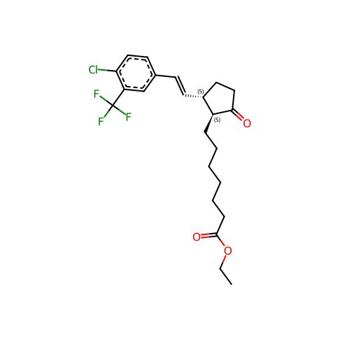 CCOC(=O)CCCCCC[C@@H]1C(=O)CC[C@H]1C=Cc1ccc(Cl)c(C(F)(F)F)c1